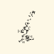 CC(C)CCCCCOc1ccc(CCC(N)(CO)CC2CC2)c(O)c1